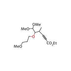 CCOC(=O)C#CC(C)C(OCCCOC)C(OC)OC